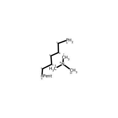 CCCCCCCCCCP.CN(C)C